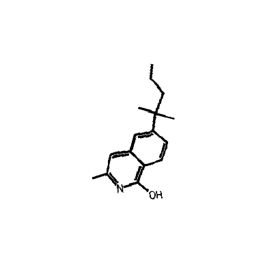 CCCC(C)(C)c1ccc2c(O)nc(C)cc2c1